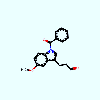 COc1ccc2c(c1)c(CCC=O)cn2C(=O)c1ccccc1